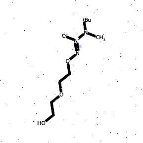 CN(/[N+]([O-])=N/OCCOCCO)C(C)(C)C